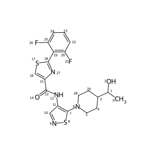 CC(O)C1CCN(c2sncc2NC(=O)c2csc(-c3c(F)cccc3F)n2)CC1